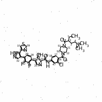 CCC(CCN(C)C)C(=O)N1CCN(C(=O)c2ccc(NC(=O)c3ncc(-c4ccc(-c5cn[nH]c5-c5cscn5)c(F)c4F)n3C)cc2Cl)CC1